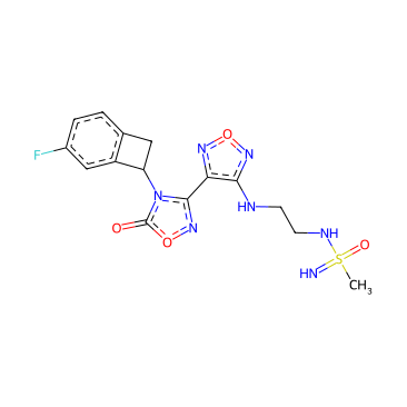 CS(=N)(=O)NCCNc1nonc1-c1noc(=O)n1C1Cc2ccc(F)cc21